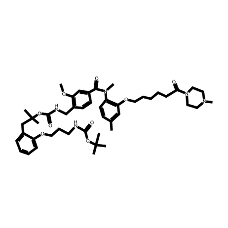 COc1cc(C(=O)N(C)c2ccc(C)cc2OCCCCCC(=O)N2CCN(C)CC2)ccc1CNC(=O)OC(C)(C)Cc1ccccc1OCCCNC(=O)OC(C)(C)C